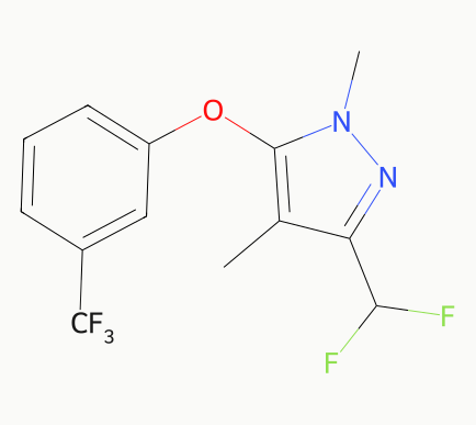 Cc1c(C(F)F)nn(C)c1Oc1cccc(C(F)(F)F)c1